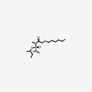 CCCCCCSCC(=O)N(C)P(=O)(NC)SC(C)CC